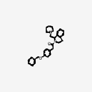 O=C(Cc1ccc(OCc2ccccc2)cc1)N1CCc2ccccc2C1CN1CCCCC1